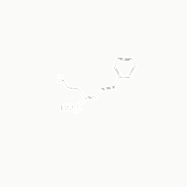 O=C(O)C(=CC=Cc1ccccc1)CCCl